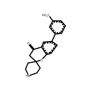 O=C(O)c1cccc(-c2ccc3c(c2)C(=O)CC2(CCNCC2)O3)c1